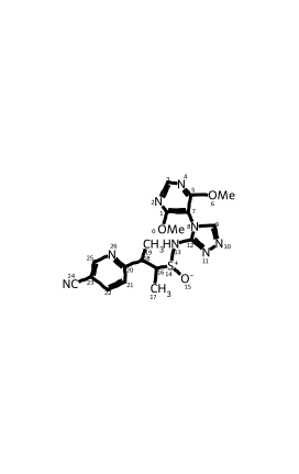 COc1ncnc(OC)c1-n1cnnc1N[S+]([O-])C(C)C(C)c1ccc(C#N)cn1